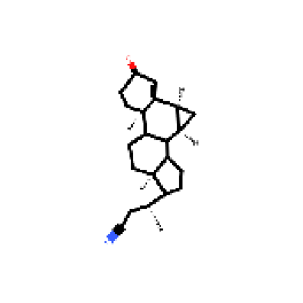 C[C@H](CC#N)C1CCC2C3C(CC[C@@]21C)[C@@]1(C)CCC(=O)C=C1[C@H]1C[C@@H]31